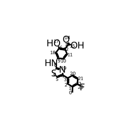 Cc1cc(-c2csc(Nc3ccc(C(=O)O)c(O)c3)n2)ccc1F